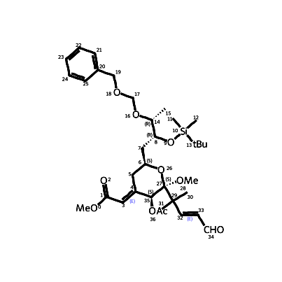 COC(=O)/C=C1\C[C@@H](C[C@@H](O[Si](C)(C)C(C)(C)C)[C@@H](C)OCOCc2ccccc2)O[C@@](OC)(C(C)(C)/C=C/C=O)[C@H]1OC(C)=O